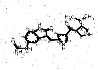 CN(C)[C@H]1CNCC1C(=O)c1c[nH]c(/C=C2\C(=O)Nc3ccc(NC(N)=O)cc32)c1